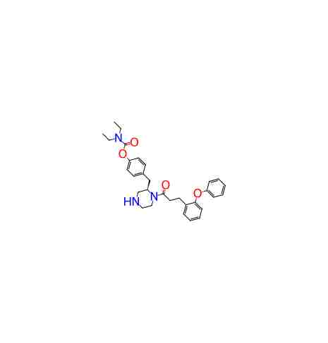 CCN(CC)C(=O)Oc1ccc(C[C@@H]2CNCCN2C(=O)CCc2ccccc2Oc2ccccc2)cc1